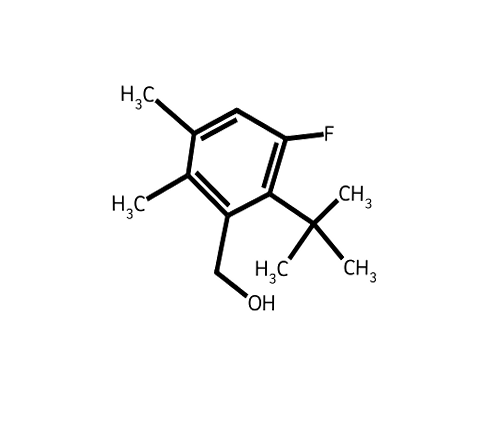 Cc1cc(F)c(C(C)(C)C)c(CO)c1C